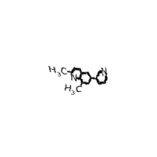 Cc1ccc2cc(-c3cccnc3)cc(C)c2n1